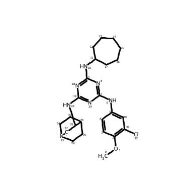 COc1ccc(Nc2nc(NC3CCCCCC3)nc(NC3CN4CCC3CC4)n2)cc1Cl